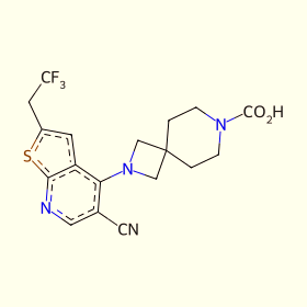 N#Cc1cnc2sc(CC(F)(F)F)cc2c1N1CC2(CCN(C(=O)O)CC2)C1